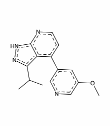 COc1cncc(-c2ccnc3[nH]nc(C(C)C)c23)c1